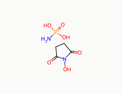 NP(=O)(O)O.O=C1CCC(=O)N1O